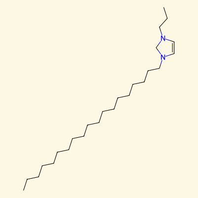 CCCCCCCCCCCCCCCCCCCN1C=CN(CCC)C1